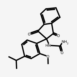 COc1cc(C(C)C)ccc1C1(NC(N)=O)C(=O)c2ccccc2C1=O